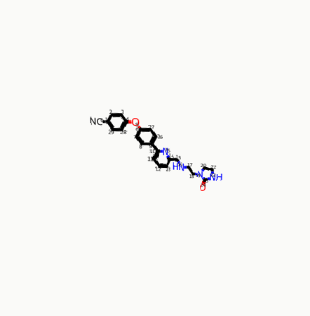 N#Cc1ccc(Oc2ccc(-c3cccc(CNCCN4CCNC4=O)n3)cc2)cc1